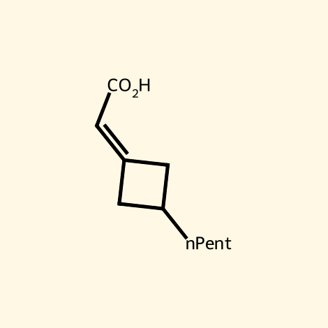 CCCCCC1CC(=CC(=O)O)C1